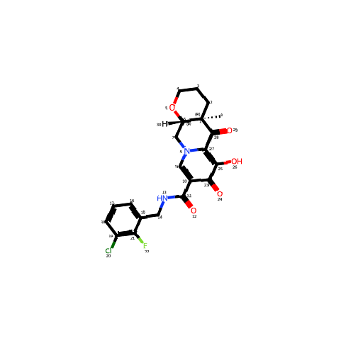 C[C@@]12CCCO[C@H]1Cn1cc(C(=O)NCc3cccc(Cl)c3F)c(=O)c(O)c1C2=O